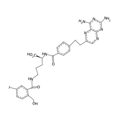 Nc1nc(N)c2nc(CCc3ccc(C(=O)N[C@@H](CCCNC(=O)c4cc(I)ccc4CO)C(=O)O)cc3)cnc2n1